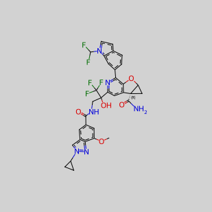 COc1cc(C(=O)NCC(O)(c2cc3c(c(-c4ccc5ccn(C(F)F)c5c4)n2)OC2C[C@@]32C(N)=O)C(F)(F)F)cc2cn(C3CC3)nc12